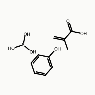 C=C(C)C(=O)O.OB(O)O.Oc1ccccc1